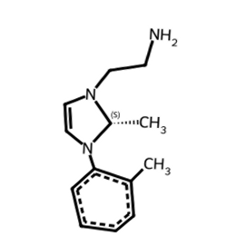 Cc1ccccc1N1C=CN(CCN)[C@@H]1C